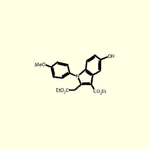 CCOC(=O)Cc1c(C(=O)OCC)c2cc(O)ccc2n1-c1ccc(OC)cc1